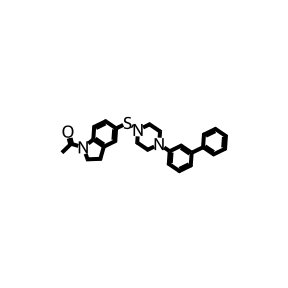 CC(=O)N1CCc2cc(SN3CCN(c4cccc(-c5ccccc5)c4)CC3)ccc21